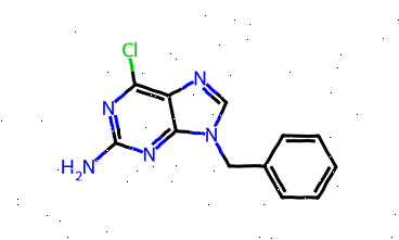 Nc1nc(Cl)c2ncn(Cc3ccccc3)c2n1